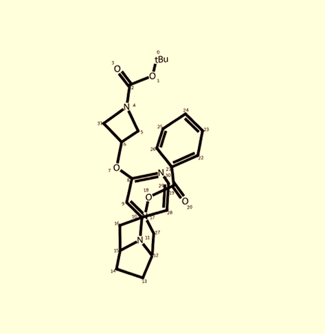 CC(C)(C)OC(=O)N1CC(Oc2cc(N3C4CCC3CN(OC(=O)c3ccccc3)C4)ccn2)C1